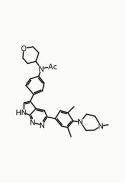 CC(=O)N(c1ccc(-c2c[nH]c3nnc(-c4cc(C)c(N5CCN(C)CC5)c(C)c4)cc23)cc1)C1CCOCC1